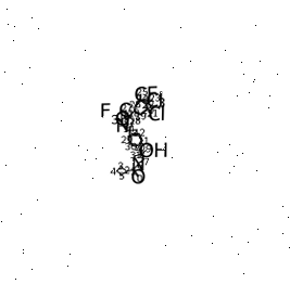 O=C(C1CCC1)N1CC(O)(c2ccc(C3=NOC(c4cc(Cl)c(Cl)c(C(F)(F)F)c4)(C(F)(F)F)C3)cc2)C1